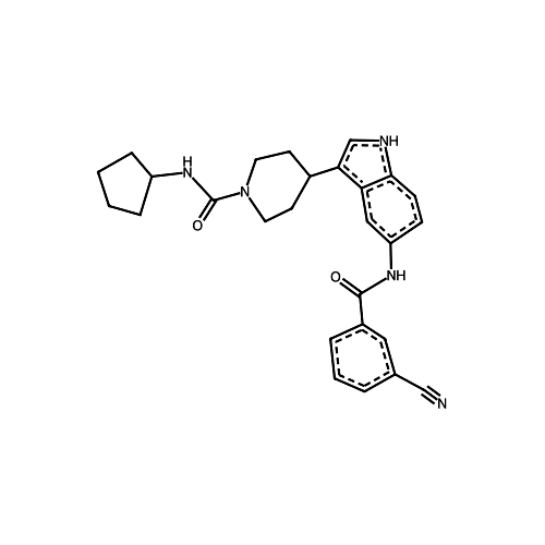 N#Cc1cccc(C(=O)Nc2ccc3[nH]cc(C4CCN(C(=O)NC5CCCC5)CC4)c3c2)c1